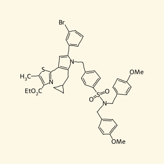 CCOC(=O)c1nc(-c2cc(-c3cccc(Br)c3)n(Cc3ccc(S(=O)(=O)N(Cc4ccc(OC)cc4)Cc4ccc(OC)cc4)cc3)c2CC2CC2)sc1C